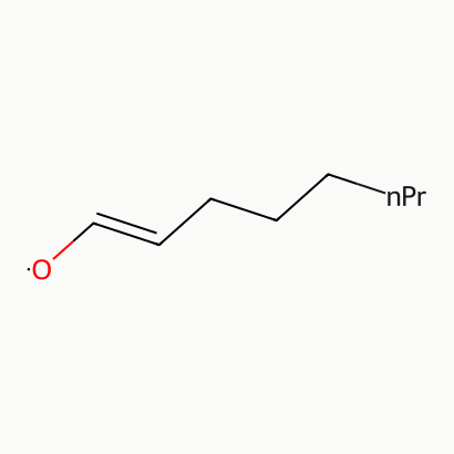 CCCCCC/C=C/[O]